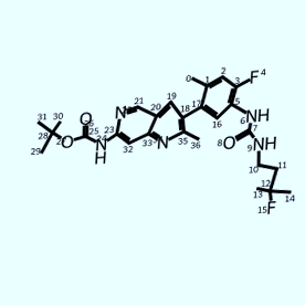 Cc1cc(F)c(NC(=O)NCCC(C)(C)F)cc1-c1cc2cnc(NC(=O)OC(C)(C)C)cc2nc1C